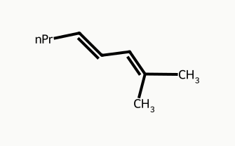 CCCC=CC=C(C)C